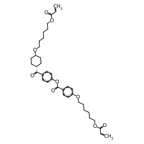 C=CC(=O)OCCCCCCOc1ccc(C(=O)Oc2ccc(C(=O)[C@H]3CC[C@H](OCCCCCCOC(=O)C=C)CC3)cc2)cc1